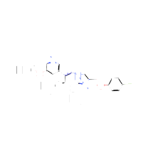 C=C/C(=C\n1cc(COc2ccc(F)cc2)nc1C)c1cncc(OC)c1